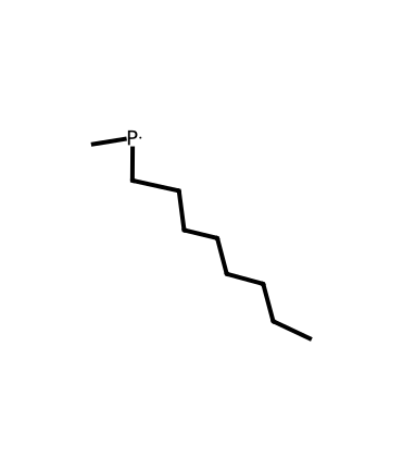 CCCCCCCC[P]C